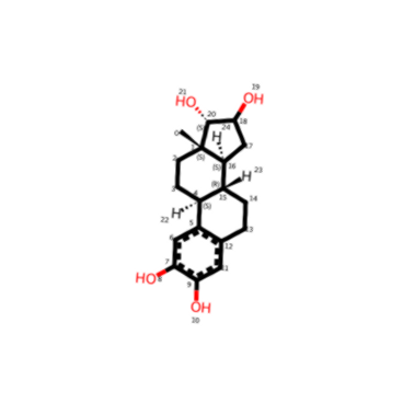 C[C@]12CC[C@@H]3c4cc(O)c(O)cc4CC[C@H]3[C@@H]1CC(O)[C@H]2O